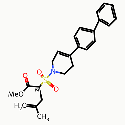 C=C(C)C[C@@H](C(=O)OC)S(=O)(=O)N1CC=C(c2ccc(-c3ccccc3)cc2)CC1